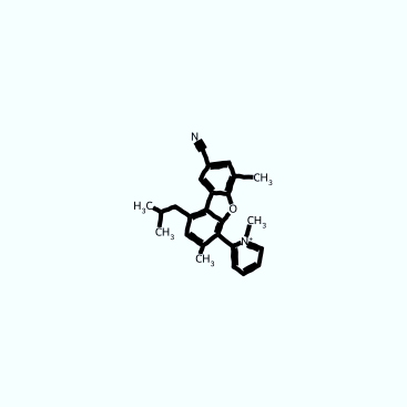 Cc1cc(CC(C)C)c2c(oc3c(C)cc(C#N)cc32)c1-c1cccc[n+]1C